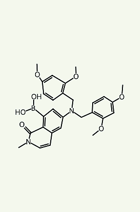 COc1ccc(CN(Cc2ccc(OC)cc2OC)c2cc(B(O)O)c3c(=O)n(C)ccc3c2)c(OC)c1